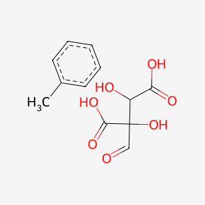 Cc1ccccc1.O=CC(O)(C(=O)O)C(O)C(=O)O